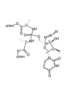 CCCCCCOC(=O)[C@H](C)NP(=O)(N[C@@H](C)C(=O)OCCCCCC)OC[C@@]1(N=[N+]=[N-])O[C@@H](n2ccc(=O)[nH]c2=O)[C@H](F)[C@@H]1O